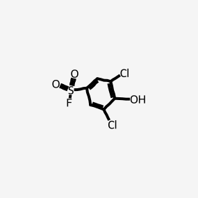 O=S(=O)(F)c1cc(Cl)c(O)c(Cl)c1